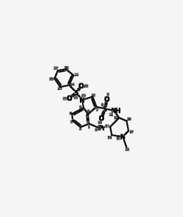 CC(C)c1cccc2c1c(S(=O)(=O)NC1CCN(C)CC1)cn2S(=O)(=O)c1ccccc1